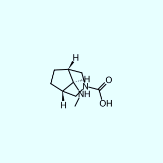 CN[C@@H]1[C@@H]2CC[C@H]1CN(C(=O)O)C2